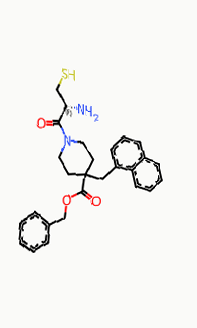 N[C@@H](CS)C(=O)N1CCC(Cc2cccc3ccccc23)(C(=O)OCc2ccccc2)CC1